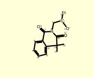 CC[S+]([O-])CN1C(=O)c2ccccc2C(C)(C)C1=O